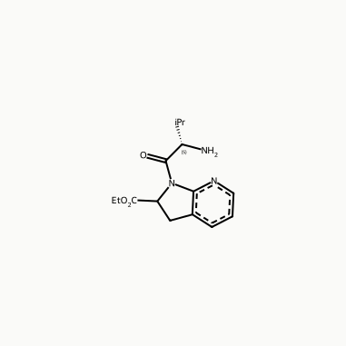 CCOC(=O)C1Cc2cccnc2N1C(=O)[C@@H](N)C(C)C